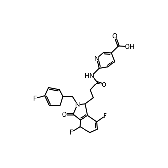 O=C(CCC1C2=C(C(=O)N1CC1C=CC(F)=CC1)C(F)CC=C2F)Nc1ccc(C(=O)O)cn1